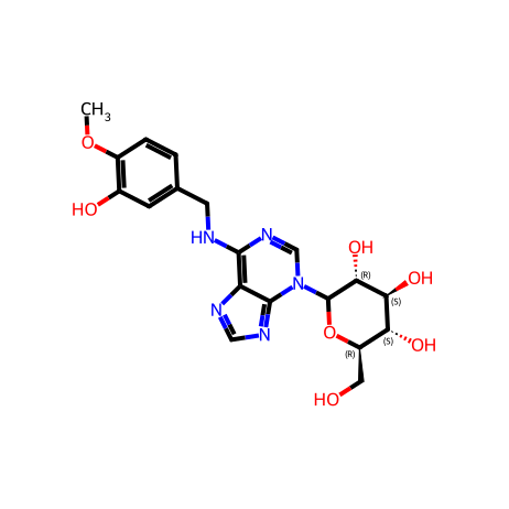 COc1ccc(CNc2ncn(C3O[C@H](CO)[C@@H](O)[C@H](O)[C@H]3O)c3ncnc2-3)cc1O